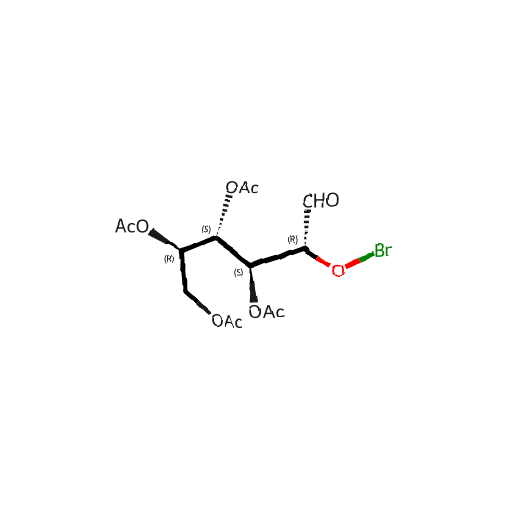 CC(=O)OC[C@@H](OC(C)=O)[C@H](OC(C)=O)[C@H](OC(C)=O)[C@H](C=O)OBr